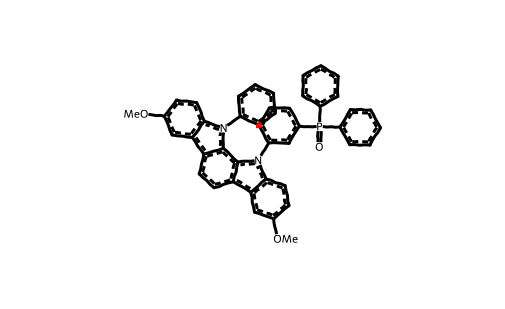 COc1ccc2c(c1)c1ccc3c4cc(OC)ccc4n(-c4cccc(P(=O)(c5ccccc5)c5ccccc5)c4)c3c1n2-c1ccccc1